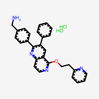 Cl.Cl.NCc1ccc(-c2nc3ccnc(OCCc4ccccn4)c3cc2-c2ccccc2)cc1